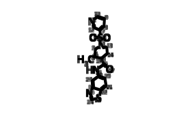 C[C@@H]1CN(S(=O)(=O)c2cccnc2)CC[C@H]1C(=O)Nc1ccc2scnc2c1